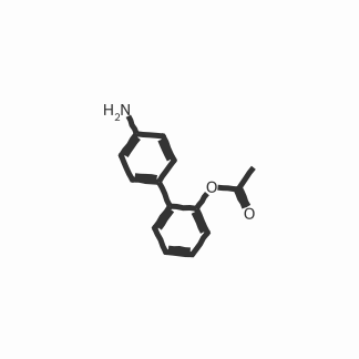 CC(=O)Oc1ccccc1-c1ccc(N)cc1